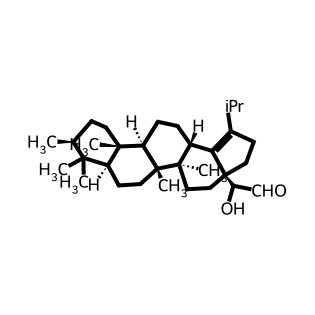 CC(C)C1=C2[C@H]3CC[C@@H]4[C@@]5(C)CC[C@H](C)C(C)(C)[C@@H]5CC[C@@]4(C)[C@]3(C)CC[C@@]2(C(O)C=O)CC1